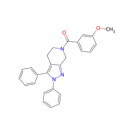 COc1cccc(C(=O)N2CCc3c(nn(-c4ccccc4)c3-c3ccccc3)C2)c1